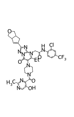 CCc1c(N2CCN(C(=O)c3nc(C)ncc3O)CC2)c(=O)n2nc(C3=CC4COCC4C3)nc2n1CC(=O)Nc1ccc(C(F)(F)F)cc1Cl